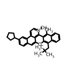 Cc1c2c(c(CC(C)(C)C)c3ccccc13)Oc1cc3ccc(C4CCCC4)cc3c3cc[n+](C)c-2c13